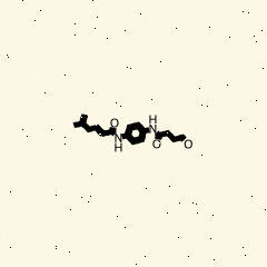 C=C(C)C/C=C/C(=O)Nc1ccc(NC(=O)CCC=O)cc1